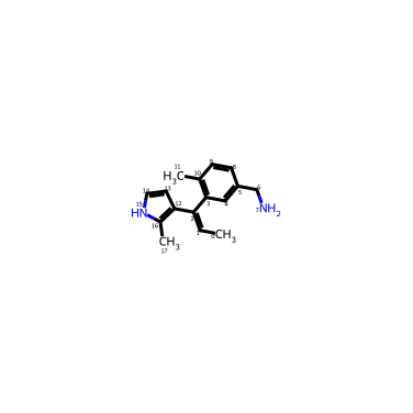 C/C=C(\c1cc(CN)ccc1C)c1cc[nH]c1C